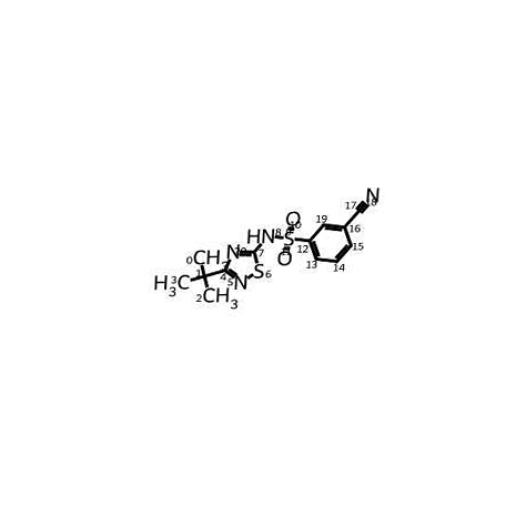 CC(C)(C)c1nsc(NS(=O)(=O)c2cccc(C#N)c2)n1